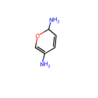 NC1=COC(N)C=C1